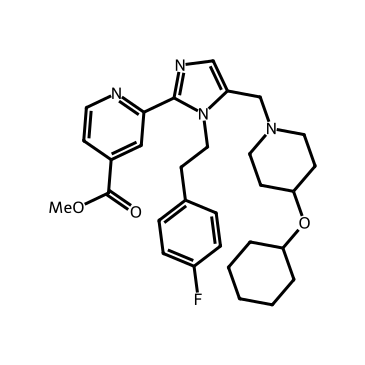 COC(=O)c1ccnc(-c2ncc(CN3CCC(OC4CCCCC4)CC3)n2CCc2ccc(F)cc2)c1